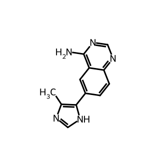 Cc1nc[nH]c1-c1ccc2ncnc(N)c2c1